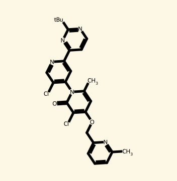 Cc1cccc(COc2cc(C)n(-c3cc(-c4ccnc(C(C)(C)C)n4)ncc3Cl)c(=O)c2Cl)n1